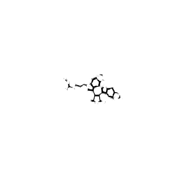 NC(=N[N+](=O)[O-])NCCCn1cc(C2=C(c3c[nH]c4cc5c(cc34)OCO5)C(=O)NC2=O)c2cc3c(cc21)OCO3